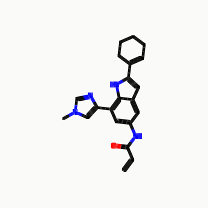 C=CC(=O)Nc1cc(-c2cn(C)cn2)c2[nH]c(C3=CCCCC3)cc2c1